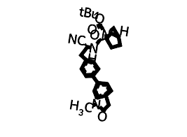 CN1C(=O)Cc2ccc(-c3ccc(C[C@@H](C#N)NC(=O)[C@@]45CC[C@@H](CN4C(=O)OC(C)(C)C)C5)cc3)cc21